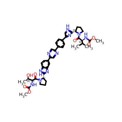 COC(=O)N[C@H](C(=O)N1CCC[C@H]1c1nc(-c2ccc(-c3cnc(-c4ccc5[nH]c([C@@H]6CCCN6C(=O)[C@@H](NC(=O)OC)[C@@H](C)O)nc5c4)cn3)cc2)c[nH]1)C(C)C